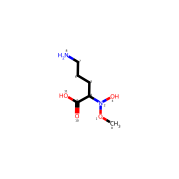 CON(O)C(CCCN)C(=O)O